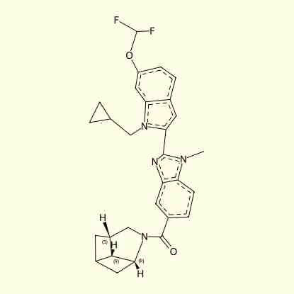 Cn1c(-c2cc3ccc(OC(F)F)cc3n2CC2CC2)nc2cc(C(=O)N3C[C@H]4CC5C[C@@H]3[C@H]54)ccc21